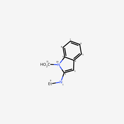 CC[N]c1cc2ccccc2n1C(=O)O